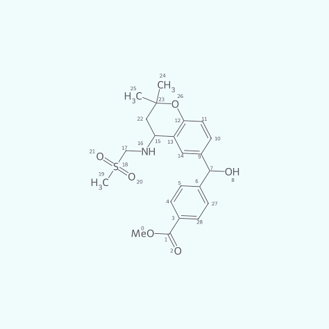 COC(=O)c1ccc(C(O)c2ccc3c(c2)C(NCS(C)(=O)=O)CC(C)(C)O3)cc1